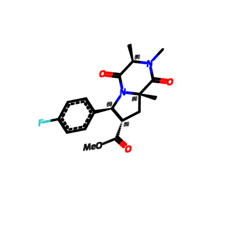 COC(=O)[C@H]1C[C@@]2(C)C(=O)N(C)[C@H](C)C(=O)N2[C@@H]1c1ccc(F)cc1